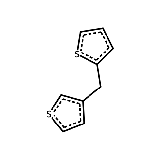 c1csc(Cc2ccsc2)c1